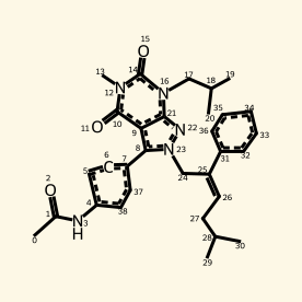 CC(=O)Nc1ccc(-c2c3c(=O)n(C)c(=O)n(CC(C)C)c3nn2C/C(=C\CC(C)C)c2ccccc2)cc1